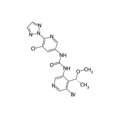 CO[C@H](C)c1c(Br)cncc1NC(=O)Nc1cnc(-n2nccn2)c(Cl)c1